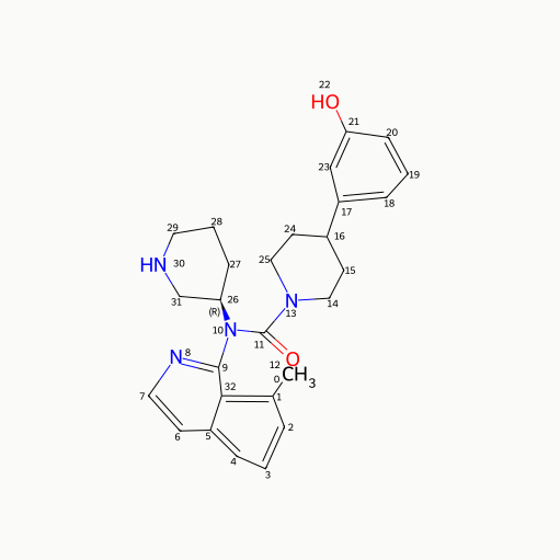 Cc1cccc2ccnc(N(C(=O)N3CCC(c4cccc(O)c4)CC3)[C@@H]3CCCNC3)c12